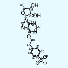 C[C@H]1O[C@@H](n2cnc3c(OCCc4ccc(S(C)(=O)=O)cc4)ncnc32)[C@H](O)[C@@H]1O